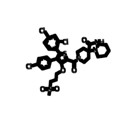 CS(=O)(=O)CCCOc1c(C(=O)N2CCC(C(N)=O)(N3CCCCC3)CC2)sc(-c2ccc(Cl)cc2Cl)c1-c1ccc(Cl)cc1